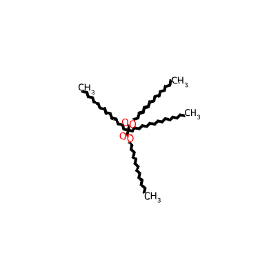 CCCCCCCCCCCCCCCCOC(=O)C(CCCCCCCCCCCCCCCC)(CCCCCCCCCCCCCCCC)C(=O)OCCCCCCCCCCCCCCCC